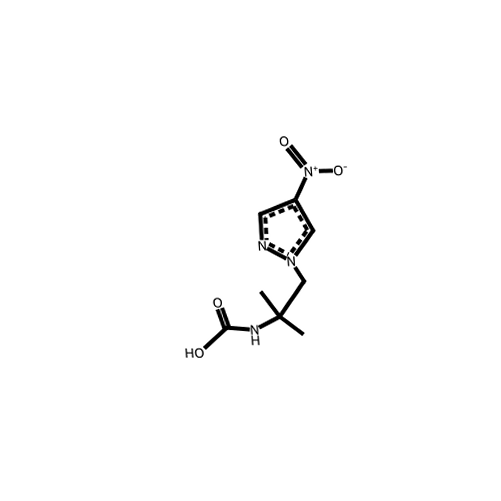 CC(C)(Cn1cc([N+](=O)[O-])cn1)NC(=O)O